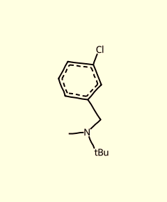 CN(Cc1cccc(Cl)c1)C(C)(C)C